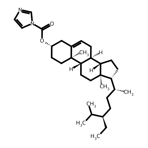 CC[C@H](CC[C@@H](C)[C@H]1CC[C@H]2[C@@H]3CC=C4C[C@@H](OC(=O)n5ccnc5)CC[C@]4(C)[C@H]3CC[C@]12C)C(C)C